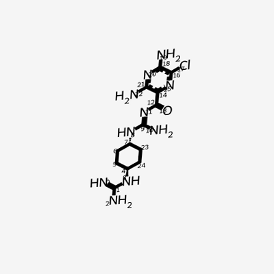 N=C(N)N[C@H]1CC[C@H](N/C(N)=N/C(=O)c2nc(Cl)c(N)nc2N)CC1